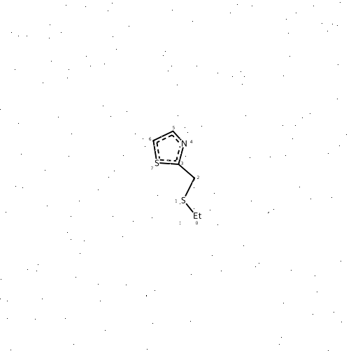 CCS[CH]c1nccs1